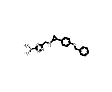 CN(C)c1nnc(CNC2CC2c2ccc(OCc3ccccc3)cc2)o1